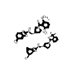 COc1cccc(OC)c1C(=O)N1CC[C@@H](CNc2nc3ccc(Cl)cc3o2)C1.O=C(c1ccccc1C(F)(F)F)N1CC[C@@H](CNc2nc3ccc(Cl)cc3o2)C1